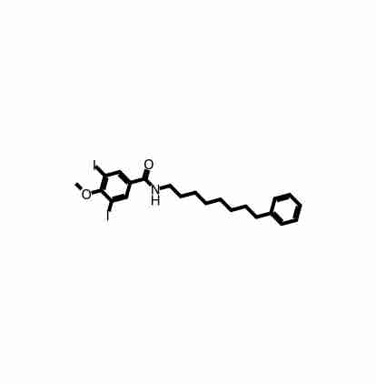 COc1c(I)cc(C(=O)NCCCCCCCCc2ccccc2)cc1I